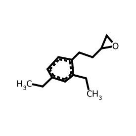 CCc1ccc(CCC2CO2)c(CC)c1